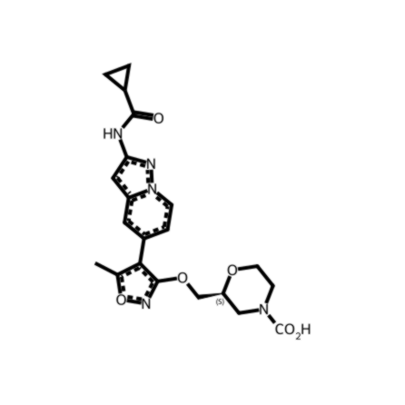 Cc1onc(OC[C@@H]2CN(C(=O)O)CCO2)c1-c1ccn2nc(NC(=O)C3CC3)cc2c1